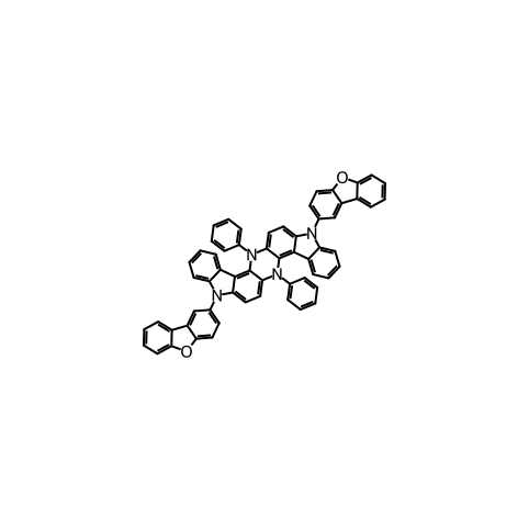 c1ccc(N2c3ccc4c(c3N(c3ccccc3)c3ccc5c(c32)c2ccccc2n5-c2ccc3oc5ccccc5c3c2)c2ccccc2n4-c2ccc3oc4ccccc4c3c2)cc1